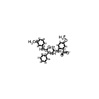 COc1ccc(NC(=S)NC(C(=O)Nc2cccc(C)c2)c2ccccc2)c([N+](=O)[O-])c1